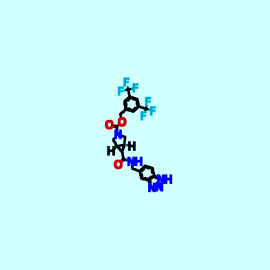 O=C(NCc1ccc2[nH]nnc2c1)C1[C@H]2CN(C(=O)OCc3cc(C(F)(F)F)cc(C(F)(F)F)c3)C[C@@H]12